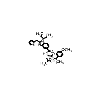 CCC(CC)n1c(Cc2cccs2)nc2cc(C(=O)N[C@@H](CC(C)C)C(=O)N[C@@H](C)c3ccc(OC)cc3)ccc21